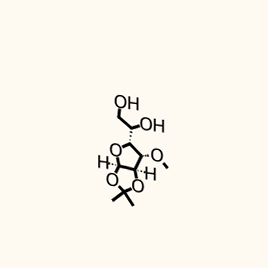 CO[C@@H]1[C@H]2OC(C)(C)O[C@H]2O[C@@H]1C(O)CO